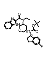 CCN(C(=O)c1nc2ccccc2[nH]1)C1COC[C@@H](N(C(=O)OC(C)(C)C)[C@@H]2CCc3cc(F)ccc32)C1